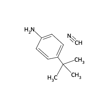 C#N.CC(C)(C)c1ccc(N)cc1